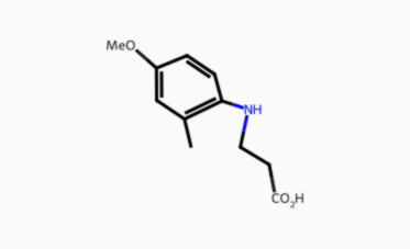 COc1ccc(NCCC(=O)O)c(C)c1